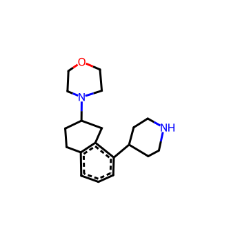 c1cc2c(c(C3CCNCC3)c1)CC(N1CCOCC1)CC2